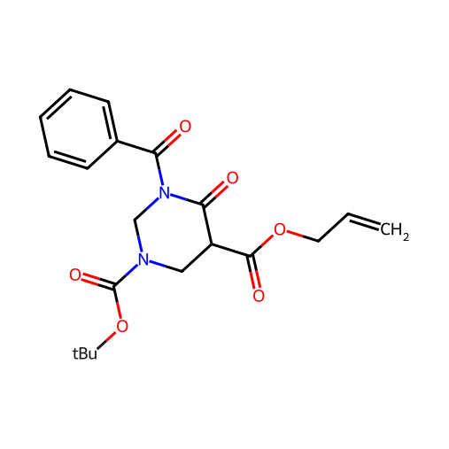 C=CCOC(=O)C1CN(C(=O)OC(C)(C)C)CN(C(=O)c2ccccc2)C1=O